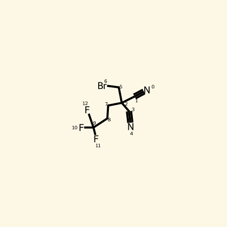 N#CC(C#N)(CBr)CCC(F)(F)F